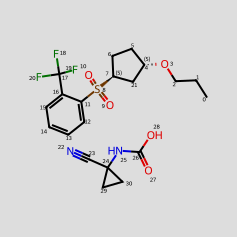 CCCO[C@H]1CC[C@H](S(=O)(=O)c2ccccc2C(F)(F)F)C1.N#CC1(NC(=O)O)CC1